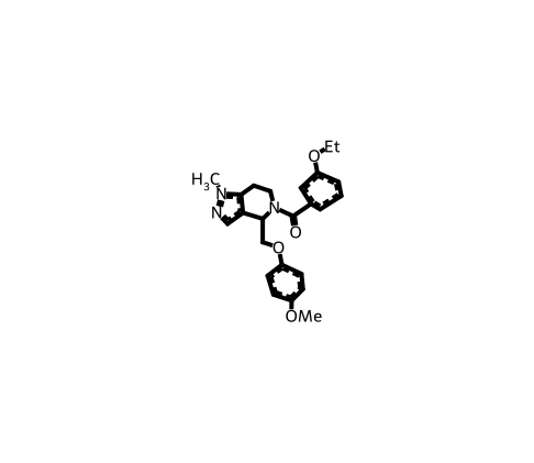 CCOc1cccc(C(=O)N2CCc3c(cnn3C)C2COc2ccc(OC)cc2)c1